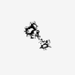 CCn1c(SCC(=O)Nc2ccccc2)nnc1-c1nccc2cnccc12